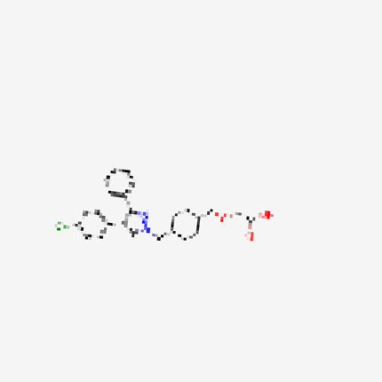 O=C(O)COC[C@H]1CC[C@@H](Cn2cc(-c3ccc(Cl)cc3)c(-c3ccccc3)n2)CC1